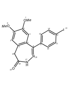 COc1cc2c(cc1OC)C(c1ccc(I)cc1)=NNC(=O)C2